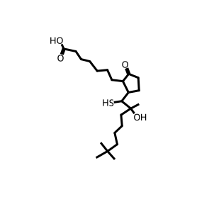 CC(C)(C)CCCCC(C)(O)C(S)C1CCC(=O)C1CCCCCCC(=O)O